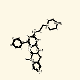 COC(=O)C(Cc1c[nH]cn1)Nc1nc(NCCN2CCN(C)CC2)nc(-c2ccccc2)n1